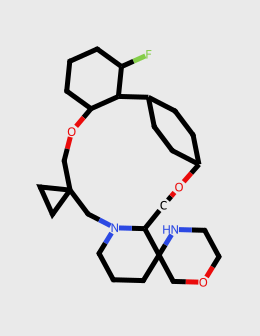 FC1CCCC2OCC3(CC3)CN3CCCC4(COCCN4)C3COC3CCC(CC3)C12